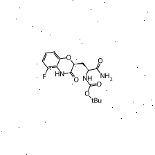 CC(C)(C)OC(=O)N[C@@H](C[C@@H]1Oc2cccc(F)c2NC1=O)C(N)=O